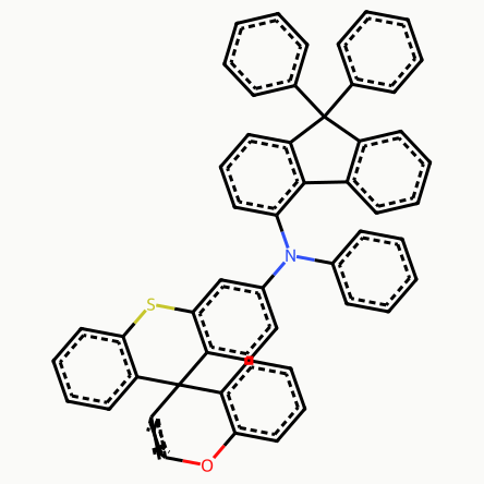 c1ccc(N(c2ccc3c(c2)Sc2ccccc2C32c3ccccc3Oc3ccccc32)c2cccc3c2-c2ccccc2C3(c2ccccc2)c2ccccc2)cc1